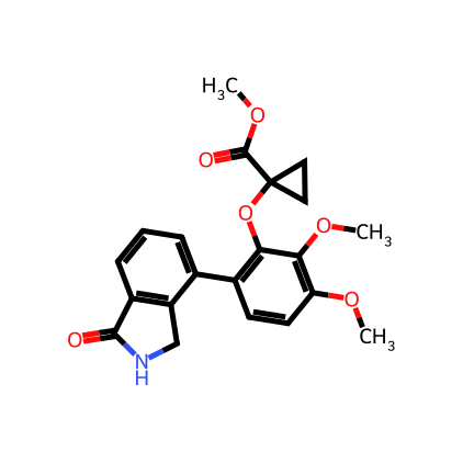 COC(=O)C1(Oc2c(-c3cccc4c3CNC4=O)ccc(OC)c2OC)CC1